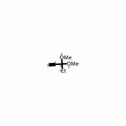 C#CC(CC)(OC)OC